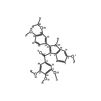 COc1ccc2c(C(=O)c3cc(OC)c(OC)c(OC)c3)c(-c3ccc(OC)c(OC(C)C)c3)n(C)c2c1